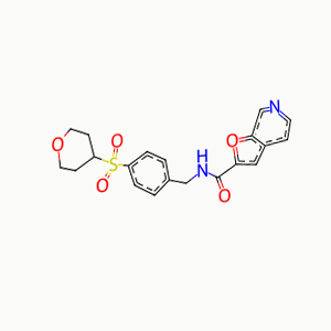 O=C(NCc1ccc(S(=O)(=O)C2CCOCC2)cc1)c1cc2ccncc2o1